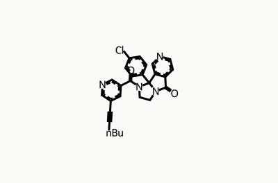 CCCCC#Cc1cncc(C(=O)N2CCN3C(=O)c4ccncc4C23c2ccc(Cl)cc2)c1